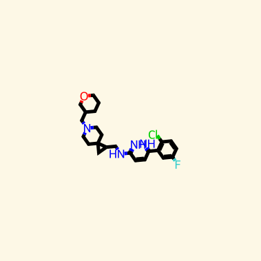 N=C(/C=C\C(=N)c1cc(F)ccc1Cl)NCC1CC12CCN(CC1CCCOC1)CC2